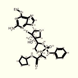 CCOc1nc(N)nc2c1ncn2[C@@H]1OC[C@@](O)(C(CF)OP(=O)(NC(C)C(=O)OC2CCCC2)Oc2ccccc2)[C@@]1(C)F